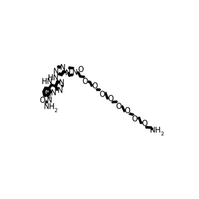 N=C(c1ccc2oc(N)nc2c1)c1c(N)ncnc1Nc1cc(N2CCN(C(=O)CCOCCOCCOCCOCCOCCOCCOCCOCCN)CC2)ncn1